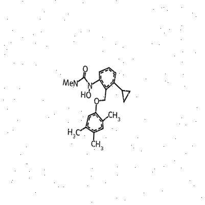 CNC(=O)N(O)c1cccc(C2CC2)c1COc1cc(C)c(C)cc1C